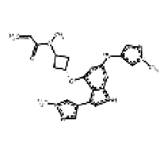 C=CC(=O)N(C)[C@H]1C[C@H](Oc2nc(Nc3cnn(C)c3)nc3[nH]cc(-c4cnn(C)c4)c23)C1